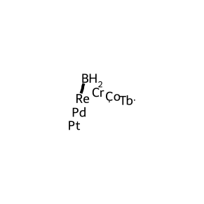 [BH2][Re].[Co].[Cr].[Pd].[Pt].[Tb]